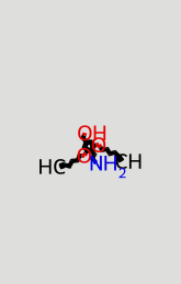 C#CCCCCOc1cc(CO)cc(OCCCCC#C)c1CCN